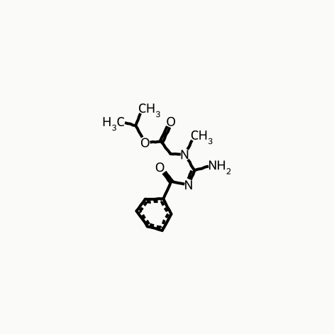 CC(C)OC(=O)CN(C)C(N)=NC(=O)c1ccccc1